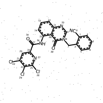 N#Cc1ccccc1Cn1cnc2cccc(NC(=O)c3cc(Cl)c(Cl)c(Cl)n3)c2c1=O